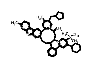 C=C1CC2C(CCc3cc4oc5nc(C)ccc5c4cc3-c3cc(C)c(CC4CCCC4)c[n+]31)c1ccccc1-c1cc(C3CCCCC3)c([Si](C)(C)C)c[n+]12